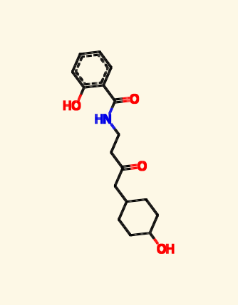 O=C(CCNC(=O)c1ccccc1O)CC1CCC(O)CC1